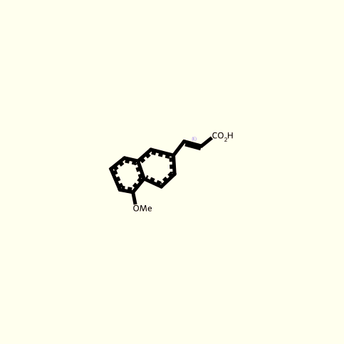 COc1cccc2cc(/C=C/C(=O)O)ccc12